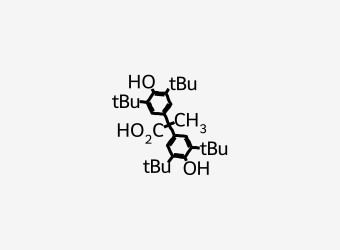 CC(C)(C)c1cc(C(C)(C(=O)O)c2cc(C(C)(C)C)c(O)c(C(C)(C)C)c2)cc(C(C)(C)C)c1O